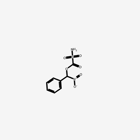 NS(=O)(=O)C(=O)OC(c1ccccc1)[N+](=O)[O-]